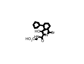 O=C(O)CNC(=O)c1nc(Br)c2cccc(-c3ccccc3)c2c1O